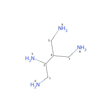 NCC(N)C(CN)CN